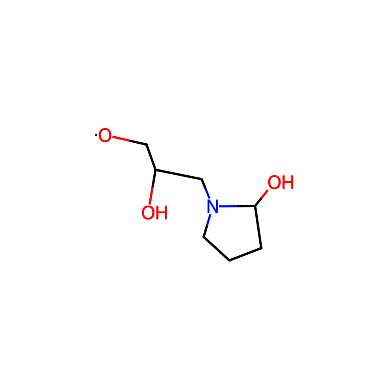 [O]CC(O)CN1CCCC1O